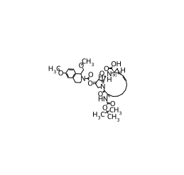 COCC1c2ccc(OC)cc2CCN1C(=O)O[C@@H]1C[C@H]2C(=O)N[C@]3(C(=O)O)C[C@H]3C=CCCCCC[C@H](NC(=O)OC(C)(C)C)C(=O)N2C1